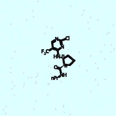 CCCNC(=O)[C@H]1CCC[C@H]1Nc1nc(Cl)ncc1C(F)(F)F